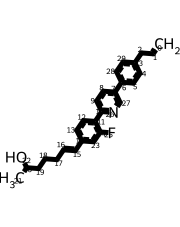 C=CCc1ccc(-c2ccc(-c3ccc(/C=C/CCCC(C)O)cc3F)nc2)cc1